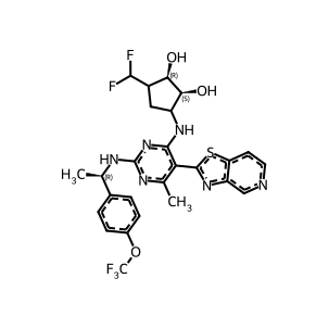 Cc1nc(N[C@H](C)c2ccc(OC(F)(F)F)cc2)nc(NC2CC(C(F)F)[C@@H](O)[C@H]2O)c1-c1nc2cnccc2s1